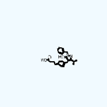 CC(C)c1nn(Cc2ccccc2)c(O)c1Cc1ccc(CCCC(=O)O)cc1